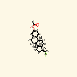 CC(=O)Oc1ccc2c(c1)CC[C@@H]1[C@@H]2CC[C@]2(C)C(=CF)CC[C@@H]12